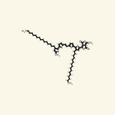 CCCCCCCCCCCCCCCCc1cc(C)sc1-c1ccc(/C=C/c2ccc(-c3sc(C4=C5C(=O)OC(C)=C5C(=O)O4)cc3CCCCCCCCCCCCCCCC)s2)s1